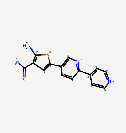 NC(=O)c1cc(-c2ccc(-c3ccncc3)nc2)sc1N